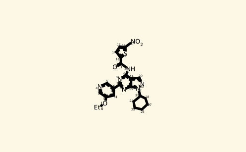 CCOc1cncc(-c2nc(NC(=O)c3ccc([N+](=O)[O-])s3)c3cnn(C4CCCCC4)c3n2)c1